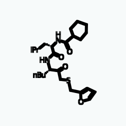 CCCC[C@H](NC(=O)[C@H](CC(C)C)NC(=O)C1CCCCC1)C(=O)CSCc1ccco1